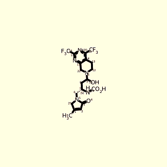 CC1=CC(=O)N(C[C@H](CC(O)N2CCc3c(nc(C(F)(F)F)nc3C(F)(F)F)C2)NC(=O)O)C1